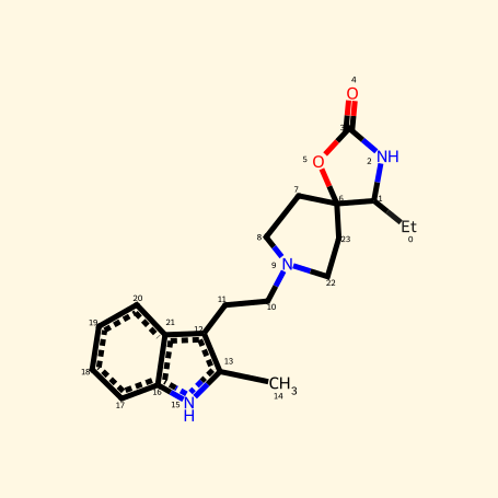 CCC1NC(=O)OC12CCN(CCc1c(C)[nH]c3ccccc13)CC2